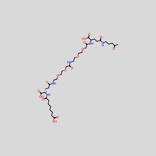 CC(=O)CCCNC(=O)CCC(NC(=O)COCCOCCNC(=O)COCCOCCNC(=O)CC[C@H](NC(=O)CCCCCCC(=O)O)C(=O)O)C(=O)O